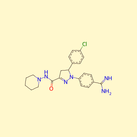 N=C(N)c1ccc(N2N=C(C(=O)NN3CCCCC3)CC2c2ccc(Cl)cc2)cc1